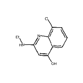 CCNc1cc(O)c2cccc(Cl)c2n1